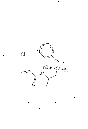 C=CC(=O)OC(C)C[N+](CC)(CCCC)Cc1ccccc1.[Cl-]